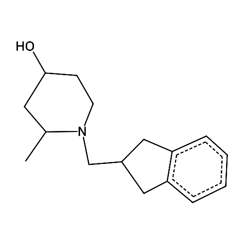 CC1CC(O)CCN1CC1Cc2ccccc2C1